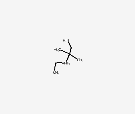 CCNC(C)(C)CN